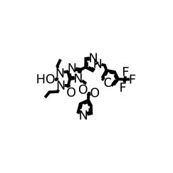 CCCN1C(=O)c2c(nc(-c3cnn(Cc4cccc(C(F)(F)F)c4)c3)n2COC(=O)c2ccncc2)N(CC)C1O